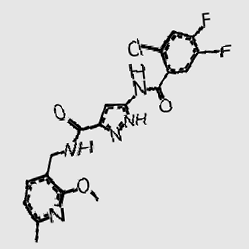 COc1nc(C)ccc1CNC(=O)c1cc(NC(=O)c2cc(F)c(F)cc2Cl)[nH]n1